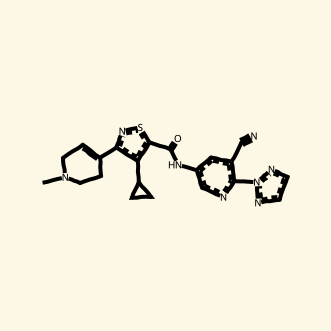 CN1CC=C(c2nsc(C(=O)Nc3cnc(-n4nccn4)c(C#N)c3)c2C2CC2)CC1